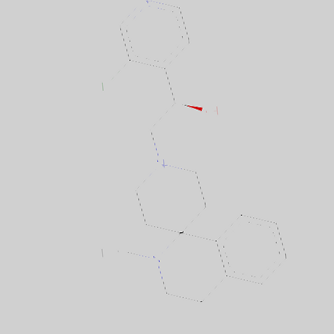 CN1CCc2ccccc2C12CCN(C[C@H](O)c1ccncc1F)CC2